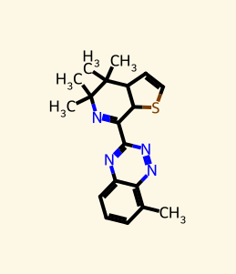 Cc1cccc2nc(C3=NC(C)(C)C(C)(C)C4C=CSC34)nnc12